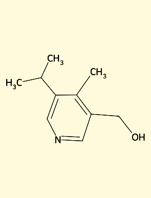 Cc1c(CO)cncc1C(C)C